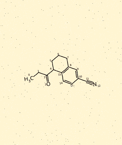 CCC(=O)C1CCCc2cc(C#N)ccc21